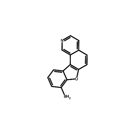 Bc1cccc2c1oc1ccc3ccncc3c12